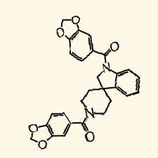 O=C(c1ccc2c(c1)OCO2)N1CCC2(CC1)CN(C(=O)c1ccc3c(c1)OCO3)c1ccccc12